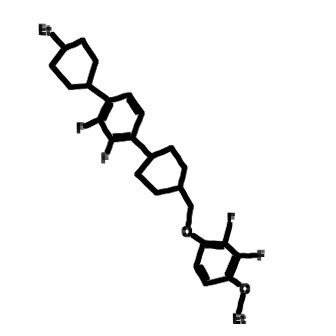 CCOc1ccc(OCC2CCC(c3ccc(C4CCC(CC)CC4)c(F)c3F)CC2)c(F)c1F